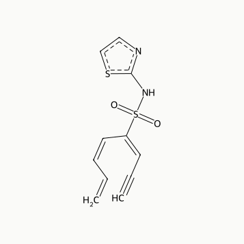 C#C/C=C(\C=C/C=C)S(=O)(=O)Nc1nccs1